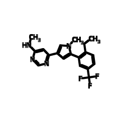 CCc1ccc(C(F)(F)F)cc1-c1cc(-c2cc(NC)ncn2)cn1C